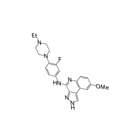 CCN1CCN(c2ccc(Nc3nc4ccc(OC)cc4c4c[nH]nc34)cc2F)CC1